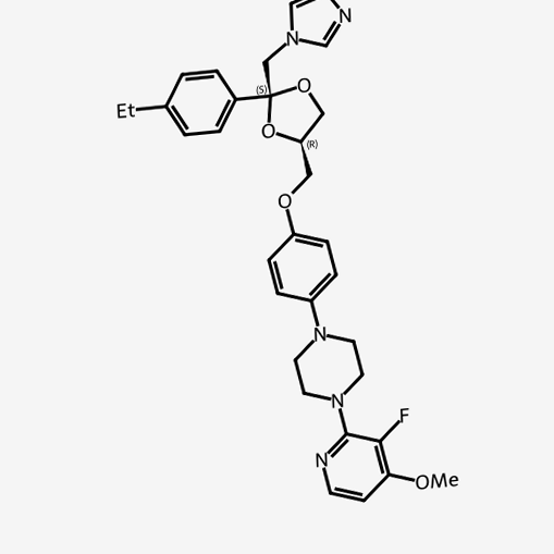 CCc1ccc([C@]2(Cn3ccnc3)OC[C@@H](COc3ccc(N4CCN(c5nccc(OC)c5F)CC4)cc3)O2)cc1